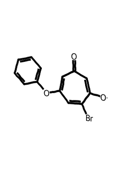 [O]c1cc(=O)cc(Oc2ccccc2)cc1Br